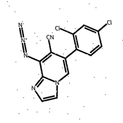 N#Cc1c(-c2ccc(Cl)cc2Cl)cn2ccnc2c1N=[N+]=[N-]